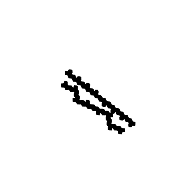 CC(C)=CCC/C(C)=C/C=C/C(C)=C/C=C/C(C)=C/C=C/C=C(C)/C=C/C=C(C)/C=C/C=C(\C)CCC=C(C)C.CC(C)=CCCC(C)CCCC(C)C/C=C/C(C)=C/C=C/C=C(C)/C=C/CC(C)CCCC(C)CCC=C(C)C